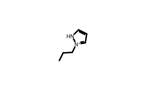 CCC[n+]1ccc[nH]1